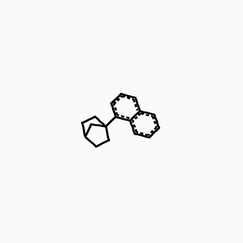 c1ccc2c(C34CCC(CC3)C4)cccc2c1